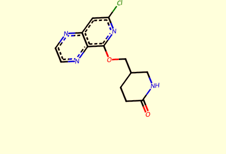 O=C1CCC(COc2nc(Cl)cc3nccnc23)CN1